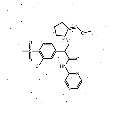 CO/N=C1/CCC[C@H]1CC(C(=O)Nc1cnccn1)c1ccc(S(C)(=O)=O)c(Cl)c1